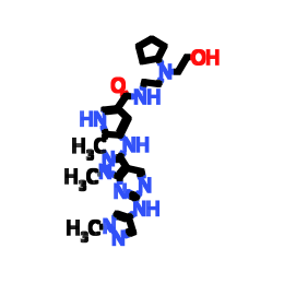 CC1NC=C(C(=O)NCCN(CCO)C2CCCC2)C=C1Nc1nn(C)c2nc(Nc3cnn(C)c3)ncc12